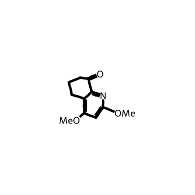 COc1cc(OC)c2c(n1)C(=O)CCC2